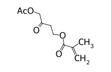 C=C(C)C(=O)OCCC(=O)COC(C)=O